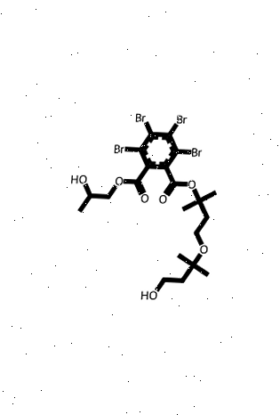 CC(O)COC(=O)c1c(Br)c(Br)c(Br)c(Br)c1C(=O)OC(C)(C)CCOC(C)(C)CCO